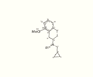 CCN(CC1CC1)C1CCc2cccc(OC)c2C1